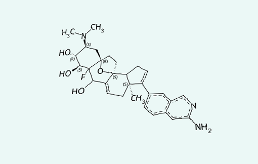 CN(C)[C@H]1C[C@@]23CC[C@@]4(O2)C(=CC[C@]2(C)C(c5ccc6cc(N)ncc6c5)=CCC24)C(O)C3(F)[C@@H](O)[C@@H]1O